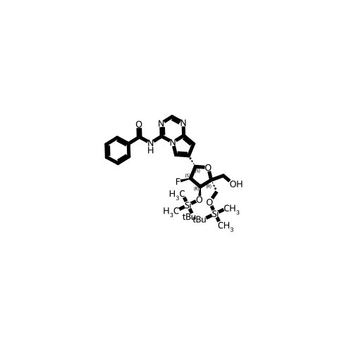 CC(C)(C)[Si](C)(C)OC[C@@]1(CO)O[C@@H](c2cc3ncnc(NC(=O)c4ccccc4)n3c2)[C@H](F)[C@@H]1O[Si](C)(C)C(C)(C)C